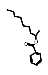 CCCCCCCC(C)OC(=O)c1ccccc1